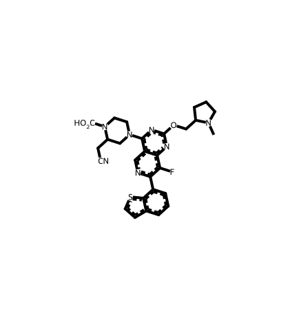 CN1CCCC1COc1nc(N2CCN(C(=O)O)C(CC#N)C2)c2cnc(-c3cccc4ccsc34)c(F)c2n1